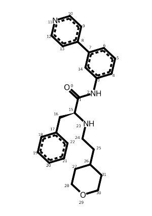 O=C(Nc1cccc(-c2ccncc2)c1)[C@H](Cc1ccccc1)NCCC1CCOCC1